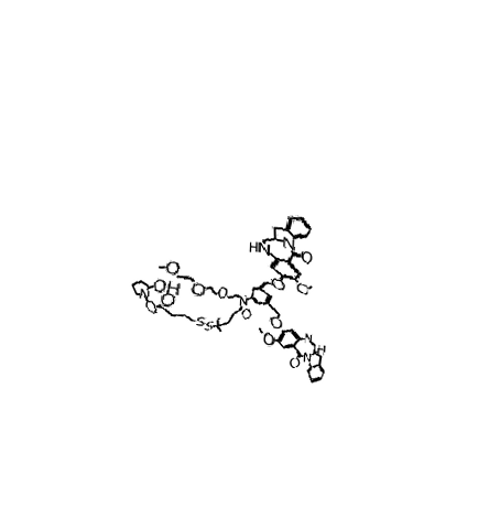 COCCOCCOCCN(C(=O)CCC(C)(C)SSCCCC(=O)ON1CCCC1O)c1cc(COc2cc3c(cc2OC)C(=O)N2c4ccccc4C[C@H]2C=N3)cc(COc2cc3c(cc2OC)C(=O)N2c4ccccc4CC2CN3)c1